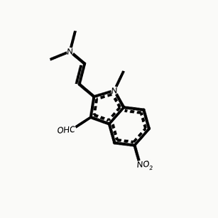 CN(C)C=Cc1c(C=O)c2cc([N+](=O)[O-])ccc2n1C